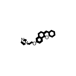 O=C1C(=CC2CCCCC2)CCc2cc(OCCn3ccnc3)ccc21